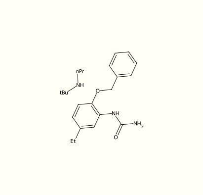 CCCNC(C)(C)C.CCc1ccc(OCc2ccccc2)c(NC(N)=O)c1